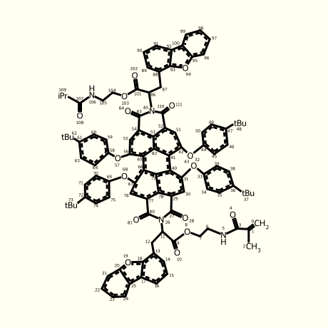 C=C(C)C(=O)NCCOC(=O)C(Cc1cccc2c1oc1ccccc12)N1C(=O)c2cc(Oc3ccc(C(C)(C)C)cc3)c3c4c(Oc5ccc(C(C)(C)C)cc5)cc5c6c(cc(Oc7ccc(C(C)(C)C)cc7)c(c7c(Oc8ccc(C(C)(C)C)cc8)cc(c2c37)C1=O)c64)C(=O)N(C(Cc1cccc2c1oc1ccccc12)C(=O)OCCNC(=O)C(C)C)C5=O